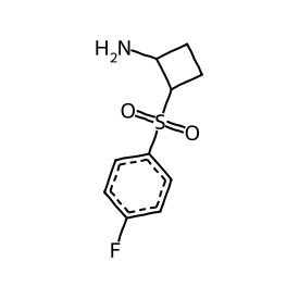 NC1CCC1S(=O)(=O)c1ccc(F)cc1